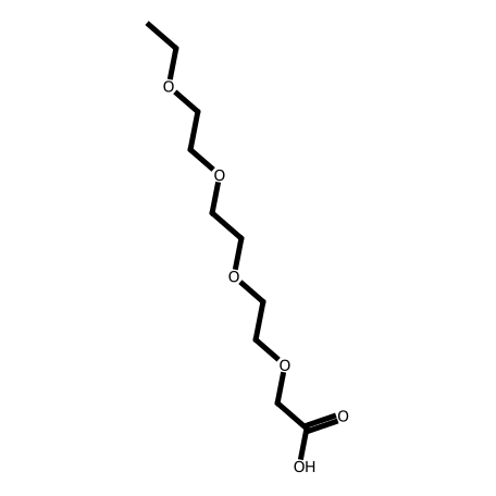 CCOCCOCCOCCOCC(=O)O